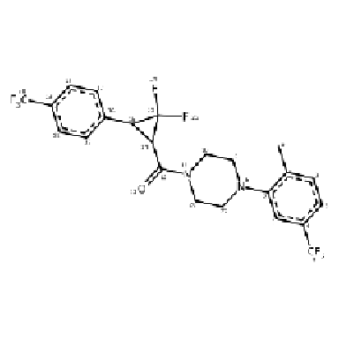 Cc1ccc(C(F)(F)F)cc1N1CCN(C(=O)C2C(c3ccc(C(F)(F)F)cc3)C2(F)F)CC1